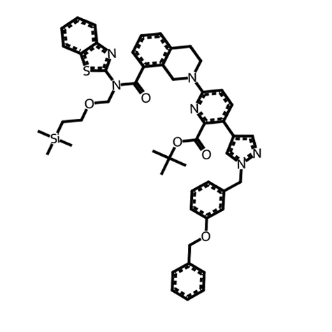 CC(C)(C)OC(=O)c1nc(N2CCc3cccc(C(=O)N(COCC[Si](C)(C)C)c4nc5ccccc5s4)c3C2)ccc1-c1cnn(Cc2cccc(OCc3ccccc3)c2)c1